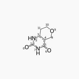 O=c1[nH]c2c(c(=O)[nH]1)COCC2